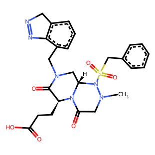 CN1CC(=O)N2[C@@H](CCC(=O)O)C(=O)N(Cc3cccc4c3N=NC4)C[C@@H]2N1S(=O)(=O)Cc1ccccc1